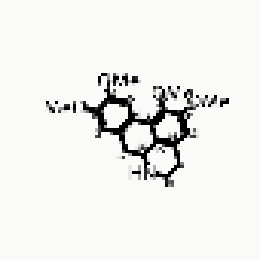 COc1cc2c(cc1OC)-c1c(OC)c(OC)cc3c1C(C2)NCC3